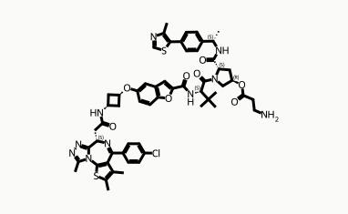 Cc1ncsc1-c1ccc([C@H](C)NC(=O)[C@@H]2C[C@@H](OC(=O)CCN)CN2C(=O)[C@@H](NC(=O)c2cc3cc(O[C@H]4C[C@@H](NC(=O)C[C@@H]5N=C(c6ccc(Cl)cc6)c6c(sc(C)c6C)-n6c(C)nnc65)C4)ccc3o2)C(C)(C)C)cc1